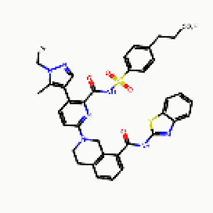 Cc1c(-c2ccc(N3CCc4cccc(C(=O)Nc5nc6ccccc6s5)c4C3)nc2C(=O)NS(=O)(=O)c2ccc(CCC(=O)O)cc2)cnn1CC(C)C